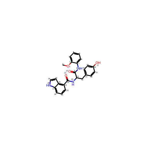 COc1ccccc1NC(=O)C(Cc1ccc(O)cc1)NC(=O)c1cccc2[nH]ccc12